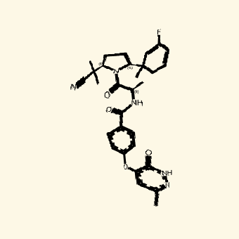 Cc1cc(Oc2ccc(C(=O)N[C@H](C)C(=O)N3[C@H](C4(C)C=C(F)C=CC4)CC[C@@H]3C(C)(C)C#N)cc2)c(=O)[nH]n1